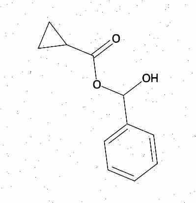 O=C(OC(O)c1ccccc1)C1CC1